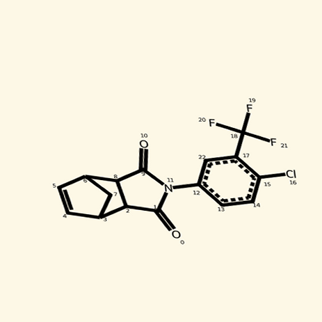 O=C1C2C3C=CC(C3)C2C(=O)N1c1ccc(Cl)c(C(F)(F)F)c1